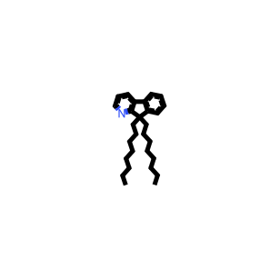 CCCCCCCCC1(CCCCCCCC)c2ccccc2-c2cccnc21